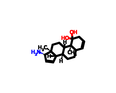 C[C@]12CC[C@H]3[C@@H](CCC4C=CCC(O)(O)[C@@]43C)[C@@H]1C=C[C@@H]2N